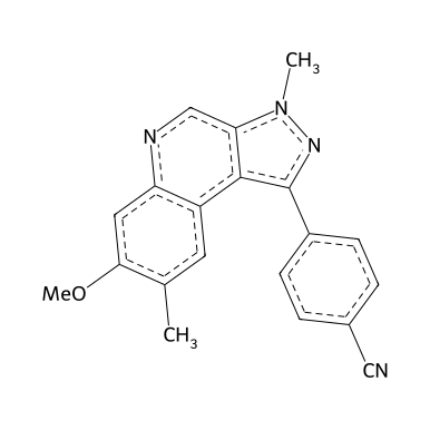 COc1cc2ncc3c(c(-c4ccc(C#N)cc4)nn3C)c2cc1C